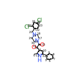 Cc1[nH]c(-c2ccccc2)cc1C(=O)C(=O)N1CCN(Cc2ccc(Cl)cc2Cl)CC1